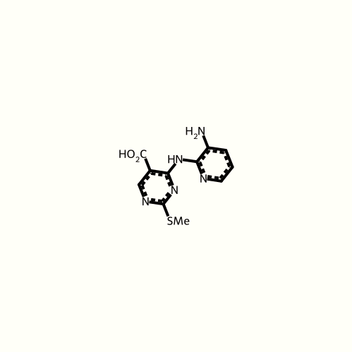 CSc1ncc(C(=O)O)c(Nc2ncccc2N)n1